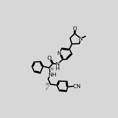 C[C@H](CN[C@H](C(=O)Nc1ccc(C2CC(=O)N(C)C2)cn1)c1ccccc1)c1ccc(C#N)cc1